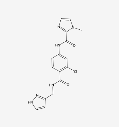 Cn1ccnc1C(=O)Nc1ccc(C(=O)NCc2cc[nH]n2)c(Cl)c1